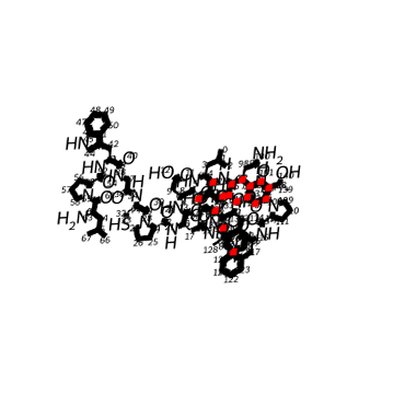 CC(C)C[C@H](NC(=O)[C@H](CC(=O)O)NC(=O)[C@H](CC(N)=O)NC(=O)[C@@H]1CCCN1C(=O)[C@H](CS)NC(=O)CNC(=O)[C@H](Cc1c[nH]c2ccccc12)NC(=O)[C@@H]1CCCN1C(=O)[C@@H](N)CC(C)C)C(=O)N[C@@H](Cc1ccccc1)C(=O)N[C@@H](Cc1ccccc1)C(=O)N[C@H](C(=O)N[C@@H](CC(N)=O)C(=O)N[C@H](C(=O)N1CCC[C@H]1C(=O)N[C@@H](Cc1ccccc1)C(=O)N[C@@H](C)C(=O)N[C@@H](CS)C(=O)O)[C@@H](C)O)C(C)C